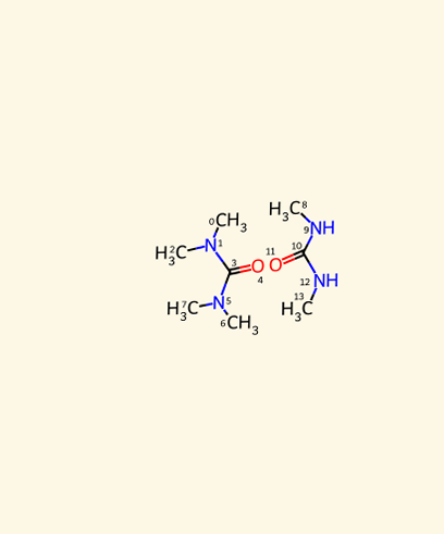 CN(C)C(=O)N(C)C.CNC(=O)NC